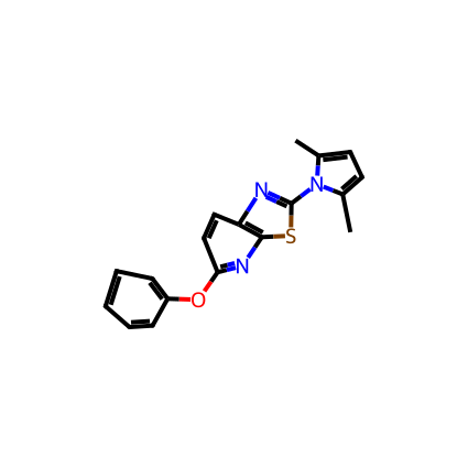 Cc1ccc(C)n1-c1nc2ccc(Oc3ccccc3)nc2s1